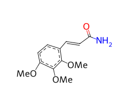 COc1ccc(C=CC(N)=O)c(OC)c1OC